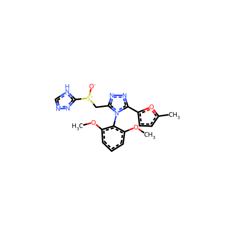 COc1cccc(OC)c1-n1c(C[S+]([O-])c2nnc[nH]2)nnc1-c1ccc(C)o1